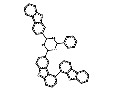 c1ccc(C2NC(c3ccc4c(c3)sc3ccccc34)NC(c3ccc4oc5cccc(-c6cccc7c6oc6ccccc67)c5c4c3)N2)cc1